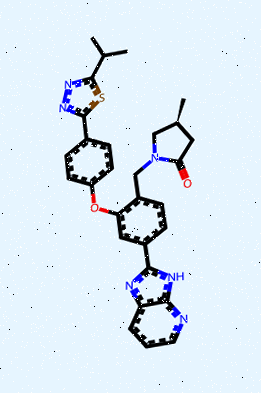 CC(C)c1nnc(-c2ccc(Oc3cc(-c4nc5cccnc5[nH]4)ccc3CN3C[C@@H](C)CC3=O)cc2)s1